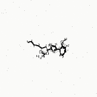 CCCCCC[C@H](OC(N)=O)c1nc(-c2ccccc2OC)c[nH]1